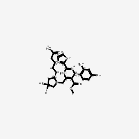 COC(=O)C1=C(CN2CC(F)(F)C[C@H]2CCCCC(=O)O)NC(c2nccs2)=N[C@H]1c1ccc(F)cc1Br